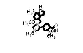 COc1cc(C)c2[nH]ccc2c1CN1CCN(C)CC1c1ccc2c(=O)[nH]n(C)c2c1